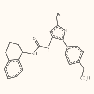 CC(C)(C)c1cc(NC(=O)NC2CCCc3ccccc32)n(-c2ccc(CC(=O)O)cc2)n1